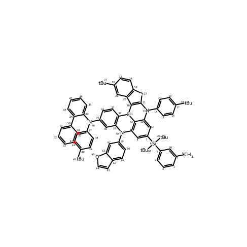 Cc1cccc([Si](c2cc3c4c(c2)N(c2ccc(C(C)(C)C)cc2)c2sc5ccc(C(C)(C)C)cc5c2B4c2ccc(N(c4ccc(C(C)(C)C)cc4)c4ccccc4-c4ccccc4)cc2N3c2ccc3ccoc3c2)(C(C)(C)C)C(C)(C)C)c1